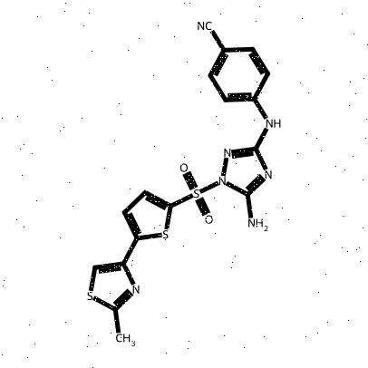 Cc1nc(-c2ccc(S(=O)(=O)n3nc(Nc4ccc(C#N)cc4)nc3N)s2)cs1